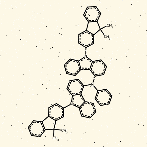 CC1(C)c2ccccc2-c2ccc(-n3c4ccccc4c4c(N(c5ccccc5)c5cccc6c5c5ccccc5n6-c5ccc6c(c5)C(C)(C)c5ccccc5-6)cccc43)cc21